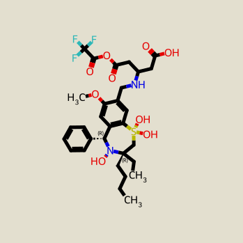 CCCC[C@]1(CC)CS(O)(O)c2cc(CNC(CC(=O)O)CC(=O)OC(=O)C(F)(F)F)c(OC)cc2[C@@H](c2ccccc2)N1O